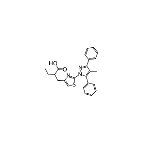 CCC(Cc1csc(-n2nc(-c3ccccc3)c(C)c2-c2ccccc2)n1)C(=O)O